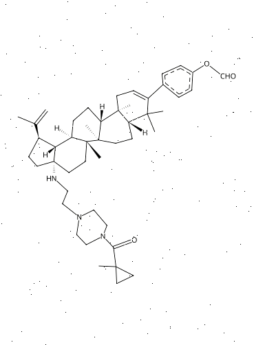 C=C(C)[C@@H]1CC[C@]2(NCCN3CCN(C(=O)C4(C)CC4)CC3)CC[C@]3(C)[C@H](CC[C@@H]4[C@@]5(C)CC=C(c6ccc(OC=O)cc6)C(C)(C)[C@@H]5CC[C@]43C)[C@@H]12